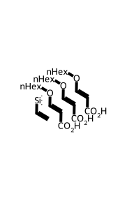 C=C[Si].CCCCCCOC=CC(=O)O.CCCCCCOC=CC(=O)O.CCCCCCOC=CC(=O)O